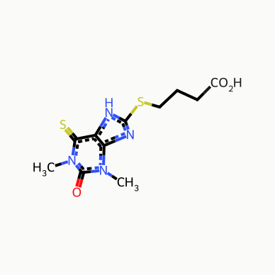 Cn1c(=S)c2[nH]c(SCCCC(=O)O)nc2n(C)c1=O